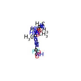 CCOc1cc(N2CCC(N3CCN(CCc4cc(F)c(C5CCC(=O)NC5=O)c(F)c4)CC3)CC2)c(CC)cc1Nc1nccc(Nc2ccc3nc(CC)ncc3c2P(C)(C)=O)n1